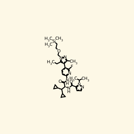 CCc1c(-c2ccc(NC(=O)[C@@H](NC(=O)c3ccnn3C(C)C)C(C3CC3)C3CC3)nc2F)c(C)nn1COCC[Si](C)(C)C